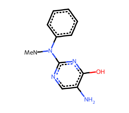 CNN(c1ccccc1)c1ncc(N)c(O)n1